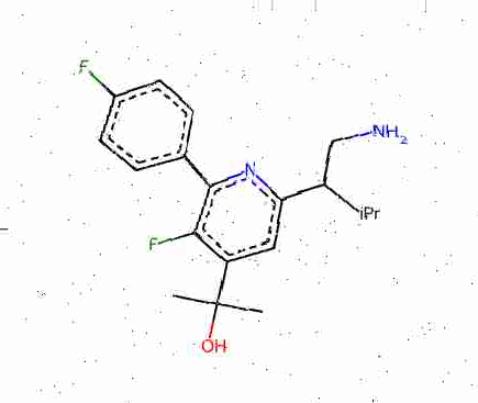 CC(C)C(CN)c1cc(C(C)(C)O)c(F)c(-c2ccc(F)cc2)n1